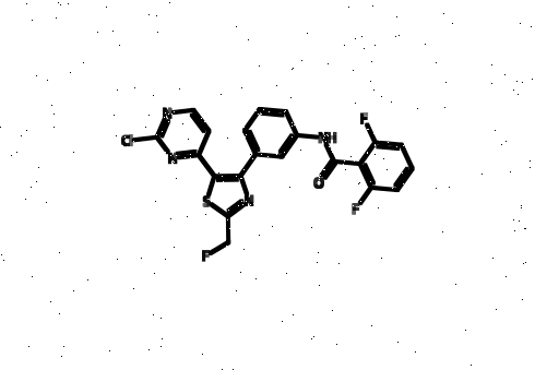 O=C(Nc1cccc(-c2nc(CF)sc2-c2ccnc(Cl)n2)c1)c1c(F)cccc1F